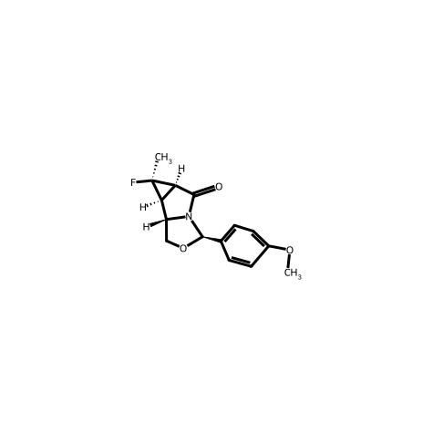 COc1ccc([C@H]2OC[C@@H]3[C@@H]4[C@H](C(=O)N23)[C@]4(C)F)cc1